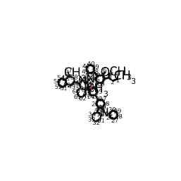 C/C=C\c1c(C)oc2c1cc(-c1cccc(-c3ccc4c(c3)c3c(n4-c4ccccc4)C=CCC3)c1)c1c2c2ccccc2n1C1=NC(C2=Cc3ccccc3C(C)C2)=C2C=CC=CC2N1C